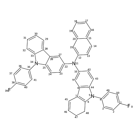 Fc1ccc(-n2c3c(c4cc(N(c5ccc6ccccc6c5)c5ccc6c(c5)c5ccccc5n6-c5ccc(F)cc5)ccc42)C=CCC3)cc1